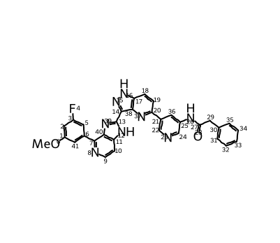 COc1cc(F)cc(-c2nccc3[nH]c(-c4n[nH]c5ccc(-c6cncc(NC(=O)Cc7ccccc7)c6)nc45)nc23)c1